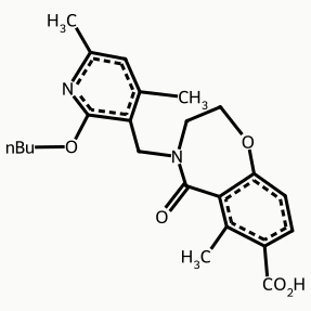 CCCCOc1nc(C)cc(C)c1CN1CCOc2ccc(C(=O)O)c(C)c2C1=O